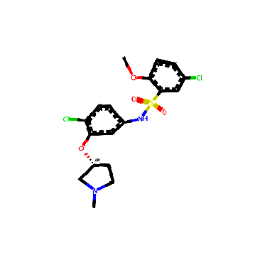 COc1ccc(Cl)cc1S(=O)(=O)Nc1ccc(Cl)c(O[C@@H]2CCN(C)C2)c1